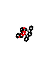 c1ccc(-c2nc(-n3c4ccccc4c4ccc5c6ccccc6n(-c6cccc7c6sc6ccccc67)c5c43)nc3ccccc23)cc1